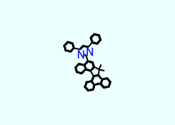 CC1(C)c2cc(-c3nc(-c4ccccc4)cc(-c4ccccc4)n3)c3ccccc3c2-c2c1c1ccccc1c1ccccc21